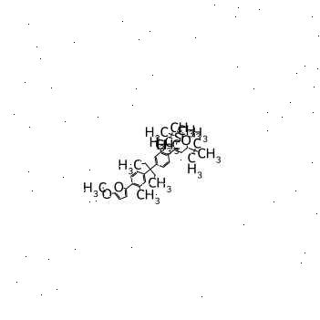 CCC(CC)(c1ccc(CCC(O[Si](C)(C)C(C)(C)C)C(C)(C)C)c(C)c1)c1ccc(-c2ccc(OC)o2)c(C)c1